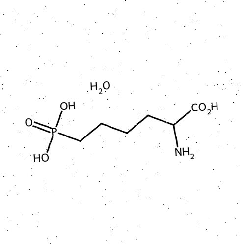 NC(CCCCP(=O)(O)O)C(=O)O.O